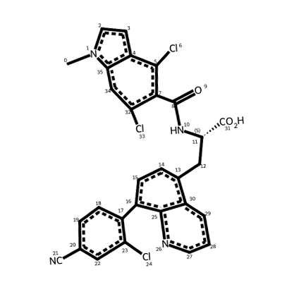 Cn1ccc2c(Cl)c(C(=O)N[C@@H](Cc3ccc(-c4ccc(C#N)cc4Cl)c4ncccc34)C(=O)O)c(Cl)cc21